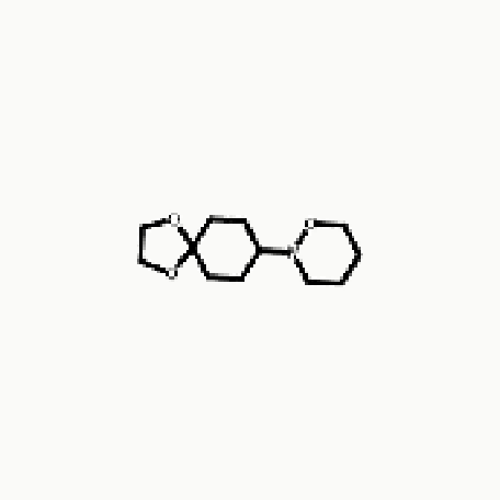 C1CCN(C2CCC3(CC2)OCCO3)OC1